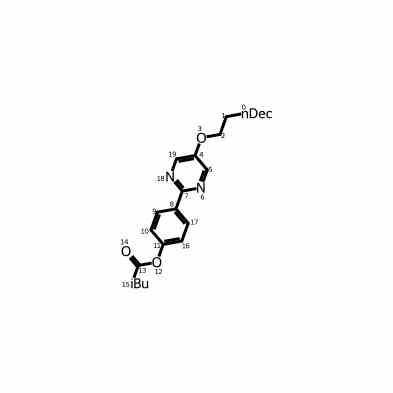 CCCCCCCCCCCCOc1cnc(-c2ccc(OC(=O)C(C)CC)cc2)nc1